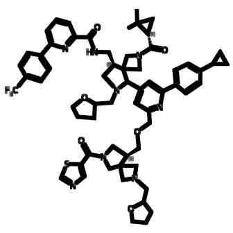 CC1(C)C[C@@H]1C(=O)N1CC2(C1)C(c1cc(COC[C@@H]3CN(C(=O)c4cncs4)CC34CN(CC3CCCO3)C4)nc(-c3ccc(C4CC4)cc3)c1)N(CC1CCCO1)C[C@H]2CNC(=O)c1cccc(-c2ccc(C(F)(F)F)cc2)n1